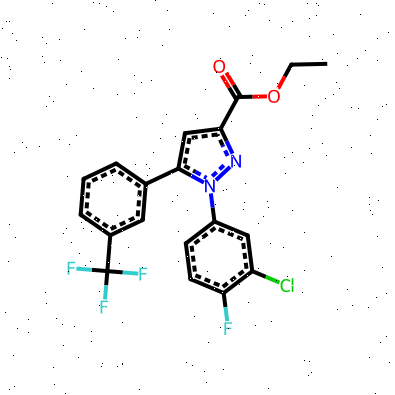 CCOC(=O)c1cc(-c2cccc(C(F)(F)F)c2)n(-c2ccc(F)c(Cl)c2)n1